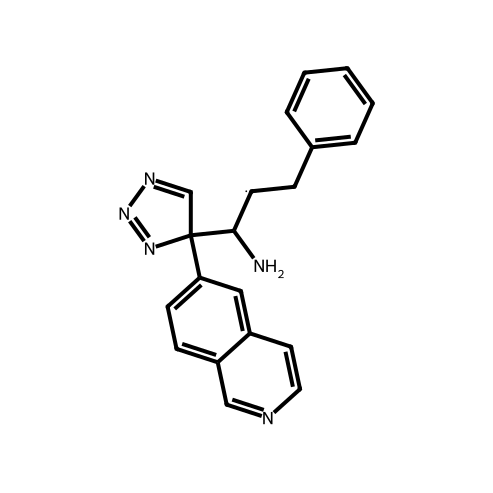 NC([CH]Cc1ccccc1)C1(c2ccc3cnccc3c2)C=NN=N1